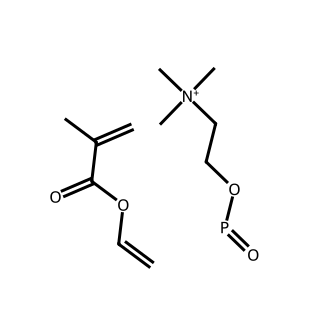 C=COC(=O)C(=C)C.C[N+](C)(C)CCOP=O